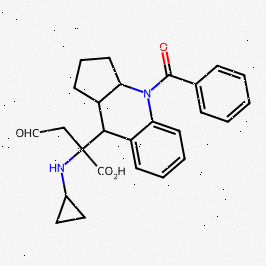 O=CCC(NC1CC1)(C(=O)O)C1c2ccccc2N(C(=O)c2ccccc2)C2CCCC21